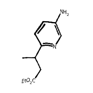 CCOC(=O)CC(C)c1ccc(N)cn1